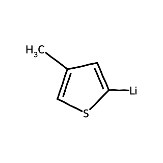 [Li][c]1cc(C)cs1